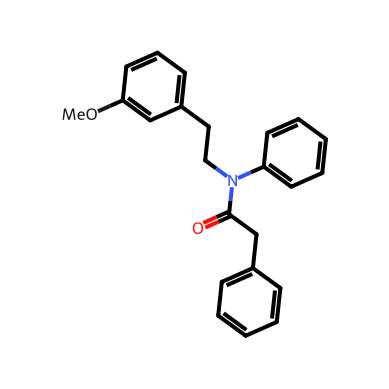 COc1cccc(CCN(C(=O)Cc2ccccc2)c2ccccc2)c1